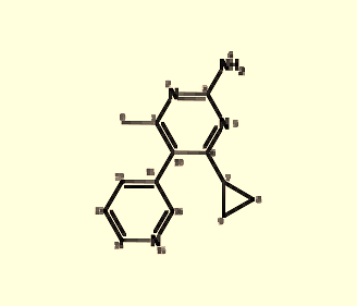 Cc1nc(N)nc(C2CC2)c1-c1cccnc1